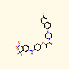 CC(O[C@H]1CC[C@H](Nc2ccc([N+](=O)[O-])c(C(F)(F)F)c2)CC1)C(=O)N1CCN(c2ccc3cc(F)ccc3c2)CC1